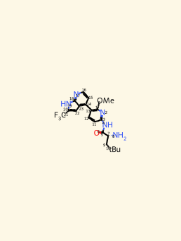 COc1nc(NC(=O)[C@H](N)CC(C)(C)C)ccc1-c1ccnc2[nH]c(C(F)(F)F)cc12